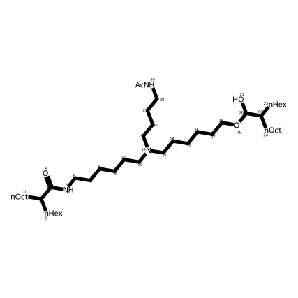 CCCCCCCCC(CCCCCC)C(=O)NCCCCCCN(CCCCCCOC(O)C(CCCCCC)CCCCCCCC)CCCCNC(C)=O